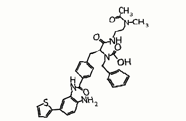 CC(=O)N(C)CCNC(=O)[C@H](Cc1ccc(C(=O)Nc2cc(-c3cccs3)ccc2N)cc1)N(Cc1ccccc1)C(=O)O